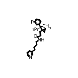 CCC[C@](C)(c1cccc(F)c1)C1(C=CC(=O)NCCCCc2cccnc2)CC1